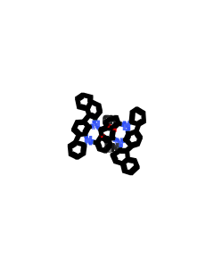 N#Cc1cc(-n2c3ccc4ccccc4c3c3ccc4c5ccccc5n(-c5ccccc5)c4c32)c(C#N)cc1-n1c2ccc3ccccc3c2c2ccc3c4ccccc4n(-c4ccccc4)c3c21